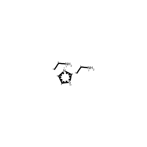 CCN.CCN.[c]1nccs1